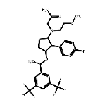 COCCN(CC(N)=O)C1CCC(O[C@H](C)c2cc(C(F)(F)F)cc(C(F)(F)F)c2)C1c1ccc(F)cc1